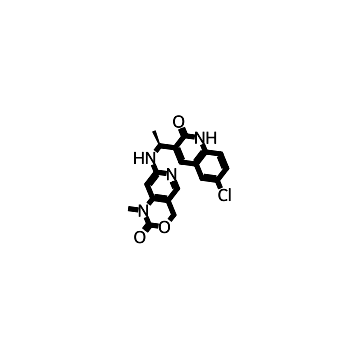 C[C@H](Nc1cc2c(cn1)COC(=O)N2C)c1cc2cc(Cl)ccc2[nH]c1=O